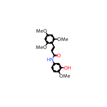 COc1cc(OC)c(C=CC(=O)Nc2ccc(OC)c(O)c2)c(OC)c1